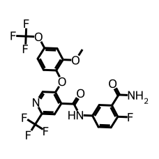 COc1cc(OC(F)(F)F)ccc1Oc1cnc(C(F)(F)F)cc1C(=O)Nc1ccc(F)c(C(N)=O)c1